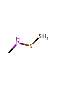 CPS[SiH3]